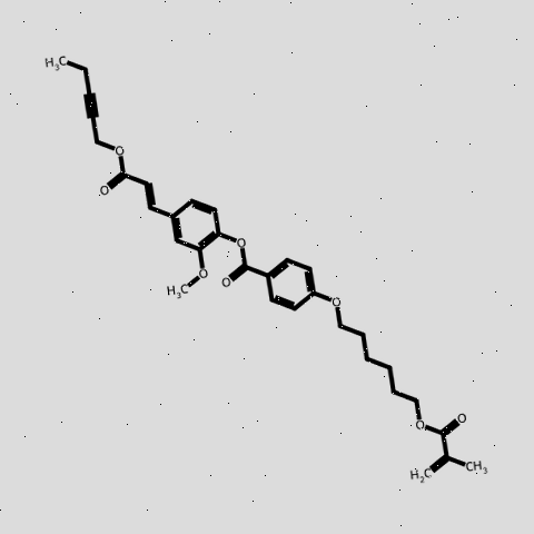 C=C(C)C(=O)OCCCCCCOc1ccc(C(=O)Oc2ccc(/C=C/C(=O)OCC#CCC)cc2OC)cc1